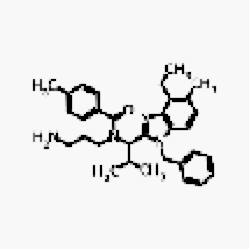 CCc1c(C)ccc2c1nc(C(C(C)C)N(CCCN)C(=O)c1ccc(C)cc1)n2Cc1ccccc1